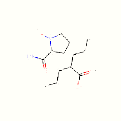 CCCC(CCC)C(=O)O.NC(=O)C1CCCN1O